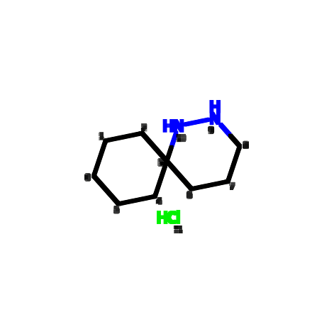 C1CCC2(CC1)CCCNN2.Cl